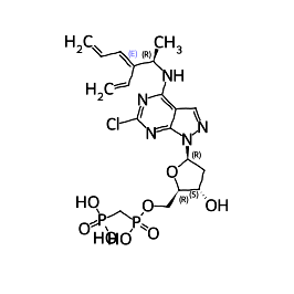 C=C/C=C(\C=C)[C@@H](C)Nc1nc(Cl)nc2c1cnn2[C@H]1C[C@H](O)[C@@H](COP(=O)(O)CP(=O)(O)O)O1